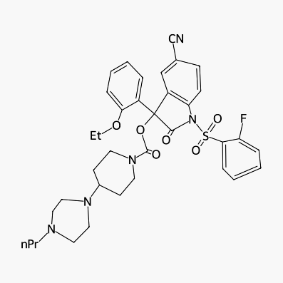 CCCN1CCN(C2CCN(C(=O)OC3(c4ccccc4OCC)C(=O)N(S(=O)(=O)c4ccccc4F)c4ccc(C#N)cc43)CC2)CC1